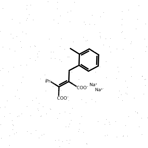 Cc1ccccc1C/C(C(=O)[O-])=C(/C(=O)[O-])C(C)C.[Na+].[Na+]